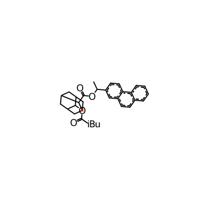 CCC(C)C(=O)OC1C2CC3CC1CC(C2)C3C(=O)OC(C)c1ccc2c(ccc3ccccc32)c1